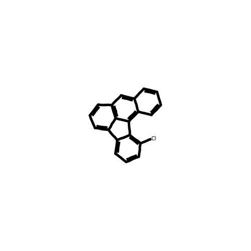 Clc1cccc2c1-c1c3ccccc3cc3cccc-2c13